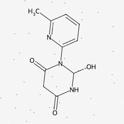 Cc1cccc(N2C(=O)CC(=O)NC2O)n1